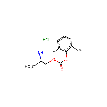 CC(C)c1cccc(C(C)C)c1OC(=O)OCC(N)C(=O)O.Cl